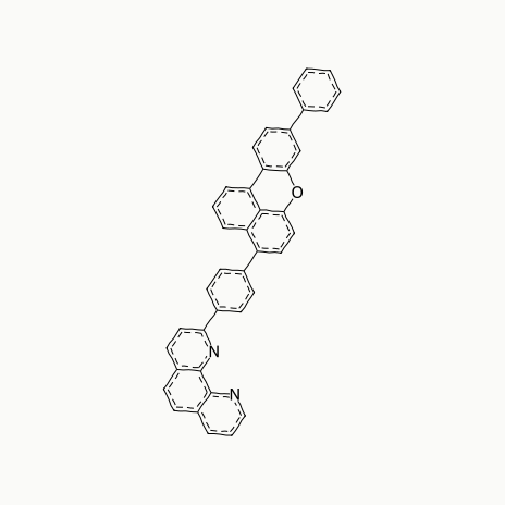 c1ccc(-c2ccc3c(c2)Oc2ccc(-c4ccc(-c5ccc6ccc7cccnc7c6n5)cc4)c4cccc-3c24)cc1